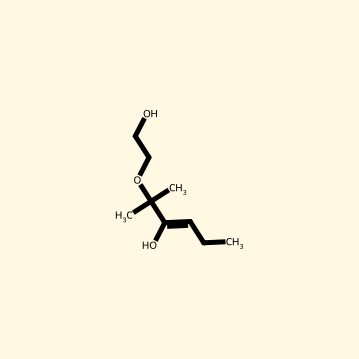 CCC=C(O)C(C)(C)OCCO